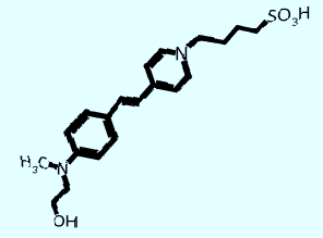 CN(CCO)c1ccc(C=CC2=CCN(CCCCS(=O)(=O)O)C=C2)cc1